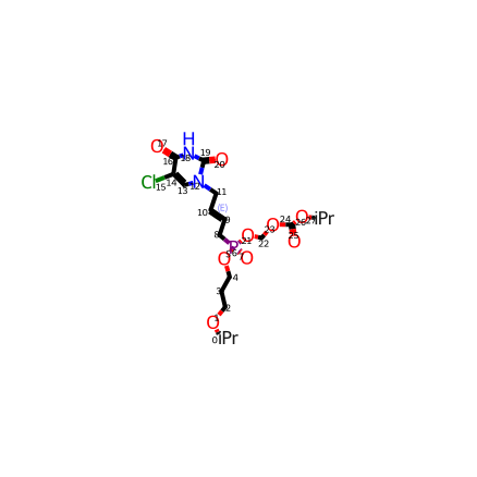 CC(C)OCCCOP(=O)(C/C=C/Cn1cc(Cl)c(=O)[nH]c1=O)OCOC(=O)OC(C)C